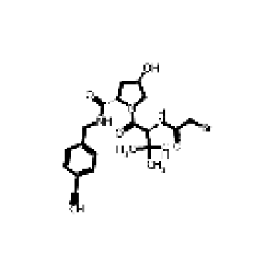 C#Cc1ccc(CNC(=O)[C@@H]2C[C@@H](O)CN2C(=O)[C@@H](NC(=O)CBr)C(C)(C)C)cc1